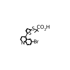 CC(C)(Sc1ccc(-c2ccnc3ccc(Br)cc23)s1)C(=O)O